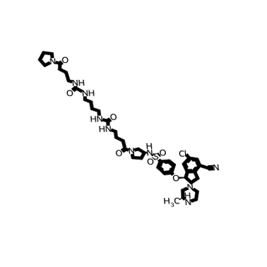 C[C@@H]1CN([C@H]2Cc3c(C#N)cc(Cl)cc3[C@@H]2Oc2ccc(S(=O)(=O)N[C@H]3CCN(C(=O)CCCNC(=O)NCCCCNC(=O)NCCCC(=O)N4CCCC4)C3)cc2)CCN1